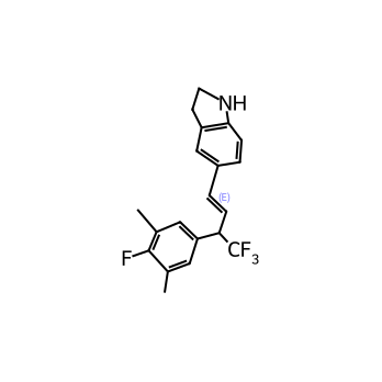 Cc1cc(C(/C=C/c2ccc3c(c2)CCN3)C(F)(F)F)cc(C)c1F